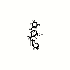 O=C(O)c1nc(N2CCOCC2)[nH]c(=O)c1COCc1ccccc1